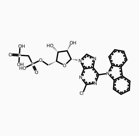 O=P(O)(O)CP(=O)(O)OC[C@H]1O[C@@H](n2cnc3c(-n4c5ccccc5c5ccccc54)nc(Cl)nc32)[C@@H](O)[C@H]1O